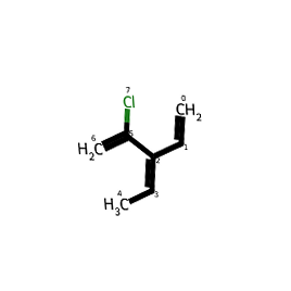 C=CC(=CC)C(=C)Cl